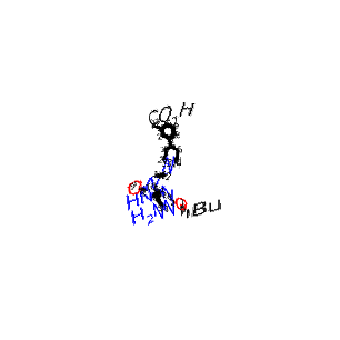 CCCCOc1nc(N)c2[nH]c(=O)n(CCN3CCC(c4cccc(CC(=O)O)c4)CC3)c2n1